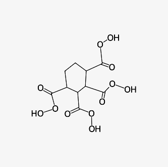 O=C(OO)C1CCC(C(=O)OO)C(C(=O)OO)C1C(=O)OO